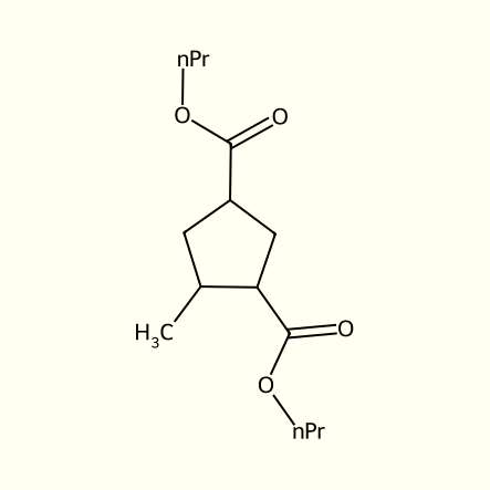 CCCOC(=O)C1CC(C)C(C(=O)OCCC)C1